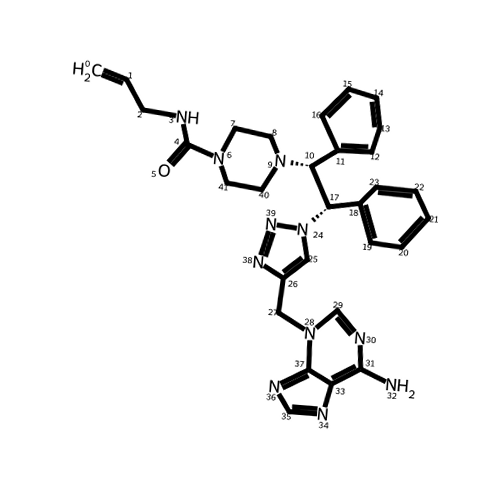 C=CCNC(=O)N1CCN([C@H](c2ccccc2)[C@H](c2ccccc2)n2cc(Cn3cnc(N)c4ncnc3-4)nn2)CC1